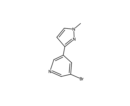 Cn1ccc(-c2cncc(Br)c2)n1